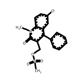 Cn1c(=O)c(COS(C)(=O)=O)c(-c2ccccc2)c2cc(Cl)ccc21